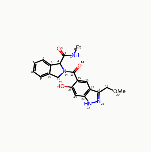 CCNC(=O)C1c2ccccc2CN1C(=O)c1cc2c(COC)n[nH]c2cc1O